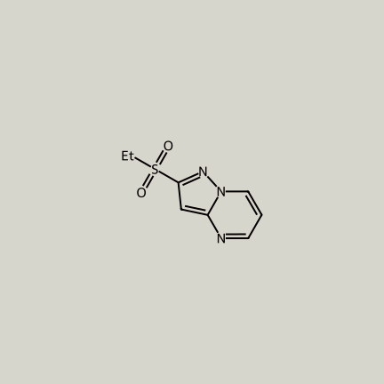 CCS(=O)(=O)c1cc2ncccn2n1